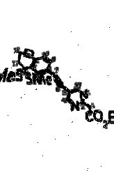 CCOC(=O)Cc1ncc(C#Cc2ccc3c(c2)C(SC)(SC)CCO3)cn1